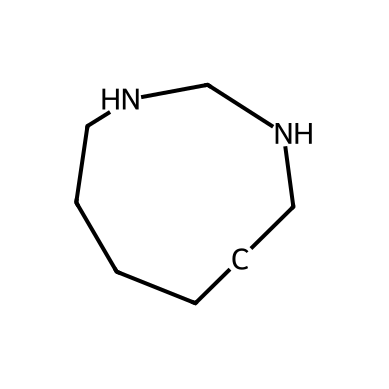 C1CCCNCNCC1